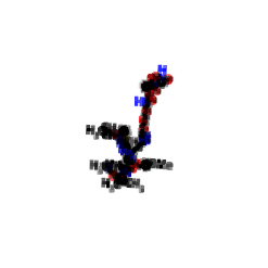 COc1ccc(COC(=O)c2nc(N(CCCCCn3cc(COCCOCCOCCNC(=O)COc4cccc5c4C(=O)N(C4CCC(=O)NC4=O)C5=O)nn3)c3cc(C)c(/N=c4\sc5ccccc5n4COCC[Si](C)(C)C)nn3)ccc2-c2cnn(CC34CC5(C)CC(C)(C3)CC(OCCN(C)C)(C5)C4)c2C)cc1